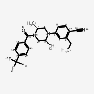 CCc1cc(N2C[C@@H](C)N(C(=O)c3ccc(C(F)(F)F)cc3)C[C@@H]2C)ccc1C#N